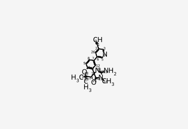 C#Cc1cncc(-c2ccc3c(c2)C2(CC(C)(C)O3)N=C(N)N(C)C2=O)c1